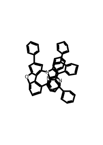 c1ccc(-c2cc(-n3c4ccccc4c4c5ccccc5c(-c5ccccc5)cc43)c3c(c2)oc2cccc(-c4nc(-c5ccccc5)nc(-c5ccccc5)n4)c23)cc1